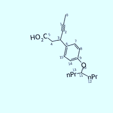 CC#CC(CC(=O)O)c1ccc(OC(CCC)CCC)cc1